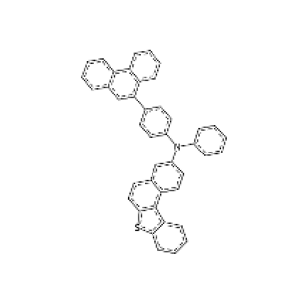 c1ccc(N(c2ccc(-c3cc4ccccc4c4ccccc34)cc2)c2ccc3c(ccc4sc5ccccc5c43)c2)cc1